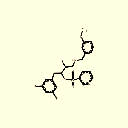 COc1cccc(CNCC(O)C(Cc2cc(F)cc(F)c2)NS(=O)(=O)c2cccnc2)c1